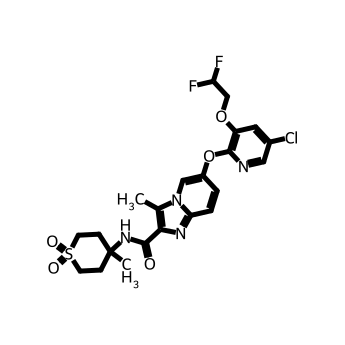 Cc1c(C(=O)NC2(C)CCS(=O)(=O)CC2)nc2ccc(Oc3ncc(Cl)cc3OCC(F)F)cn12